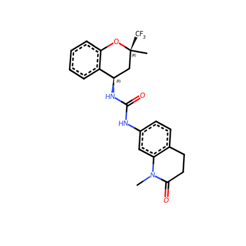 CN1C(=O)CCc2ccc(NC(=O)N[C@@H]3C[C@](C)(C(F)(F)F)Oc4ccccc43)cc21